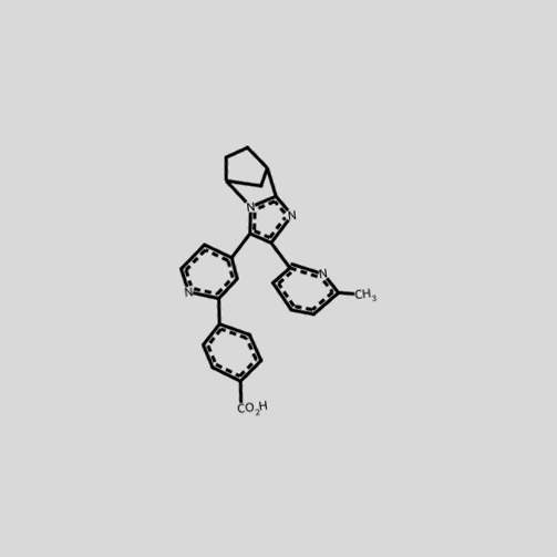 Cc1cccc(-c2nc3n(c2-c2ccnc(-c4ccc(C(=O)O)cc4)c2)C2CCC3C2)n1